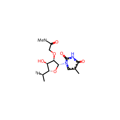 [2H][C@H](C)[C@H]1O[C@@H](n2cc(C)c(=O)[nH]c2=O)[C@H](OCC(=O)NC)[C@@H]1O